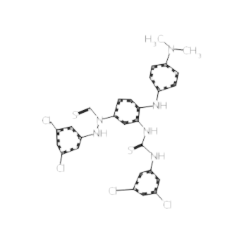 CN(C)c1ccc(Nc2ccc(N(C=S)Nc3cc(Cl)cc(Cl)c3)cc2NC(=S)Nc2cc(Cl)cc(Cl)c2)cc1